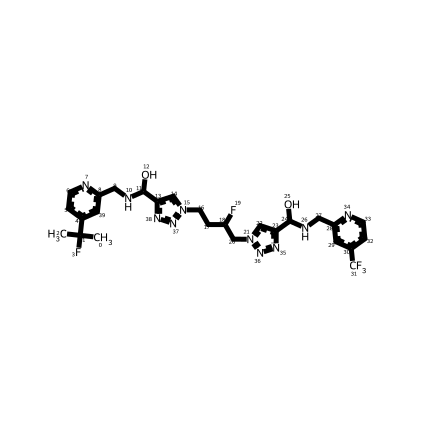 CC(C)(F)c1ccnc(CNC(O)c2cn(CCC(F)Cn3cc(C(O)NCc4cc(C(F)(F)F)ccn4)nn3)nn2)c1